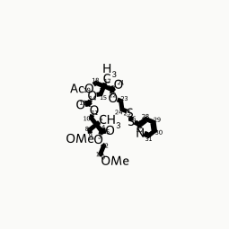 COCCOC(=O)C(C)(COC)COC(=O)OCC(C)(COC(C)=O)C(=O)OCCSSc1ccccn1